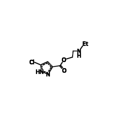 CCNCCOC(=O)c1cc(Cl)[nH]n1